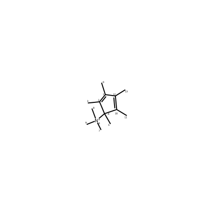 CC1=C(C)C(C)([N+](C)(C)C)C(C)=C1C